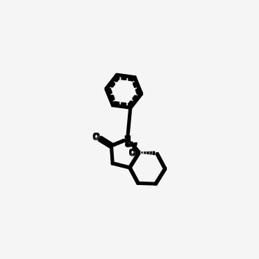 O=C1CC2CCCC[C@@]23OCC(c2ccccc2)N13